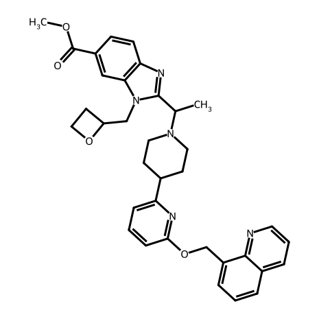 COC(=O)c1ccc2nc(C(C)N3CCC(c4cccc(OCc5cccc6cccnc56)n4)CC3)n(CC3CCO3)c2c1